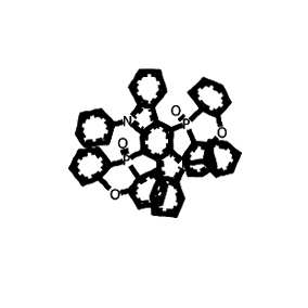 O=P1(c2c3c4ccccc4n(-c4ccccc4)c3c(P3(=O)c4ccccc4Oc4ccccc43)c3c4ccccc4n(-c4ccccc4)c23)c2ccccc2Oc2ccccc21